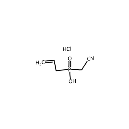 C=CCP(=O)(O)CC#N.Cl